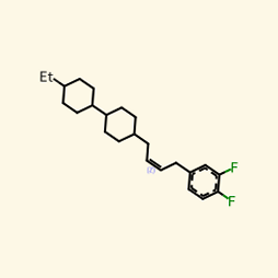 CCC1CCC(C2CCC(C/C=C\Cc3ccc(F)c(F)c3)CC2)CC1